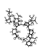 CCn1c(-c2cccnc2C(C)C)c2c3cc(ccc31)-c1cc(cc(O[Si](C(C)C)(C(C)C)C(C)C)c1)C[C@H](NC(=O)[C@H](C(C)C)N(C)C(=O)[C@H]1CC[C@@H](C)N1C(=O)OC(C)(C)C)C(=O)N1CCC[C@H](N1)C(=O)OCC(C)(C)C2